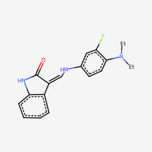 CCN(CC)c1ccc(NC=C2C(=O)Nc3ccccc32)cc1F